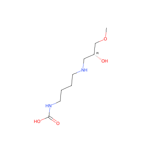 COC[C@H](O)CNCCCCNC(=O)O